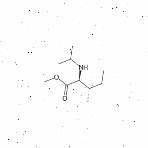 CC[C@H](C)[C@H](NC(C)C)C(=O)OC